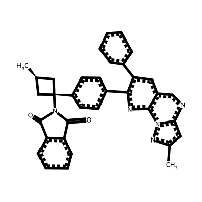 Cc1cc2ncc3cc(-c4ccccc4)c(-c4ccc([C@]5(N6C(=O)c7ccccc7C6=O)C[C@H](C)C5)cc4)nc3n2n1